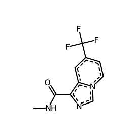 CNC(=O)c1ncn2ccc(C(F)(F)F)cc12